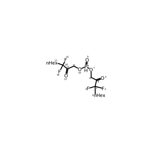 CCCCCCC(F)(F)C(=O)CO[PH](=O)OCC(=O)C(F)(F)CCCCCC